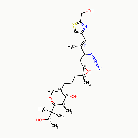 C/C(=C\c1csc(CO)n1)C(C[C@@H]1O[C@]1(C)CCC[C@H](C)[C@H](O)[C@@H](C)C(=O)C(C)(C)[C@H](C)O)N=[N+]=[N-]